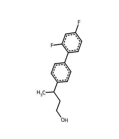 CC(CCO)c1ccc(-c2ccc(F)cc2F)cc1